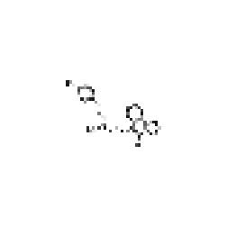 CN(CCCc1ccc(Cl)cc1)CCCn1c(=O)c2cccn2c2ccccc21